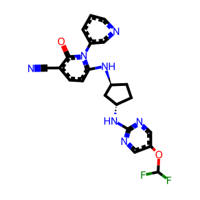 N#Cc1ccc(N[C@H]2CC[C@H](Nc3ncc(OC(F)F)cn3)C2)n(-c2cccnc2)c1=O